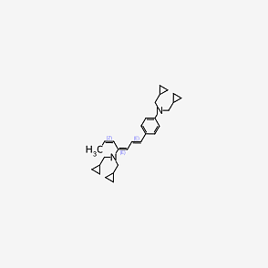 C\C=C/C(=C\C=C\c1ccc(N(CC2CC2)CC2CC2)cc1)N(CC1CC1)CC1CC1